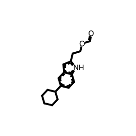 O=COCCc1cc2cc(C3CCCCC3)ccc2[nH]1